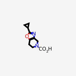 O=C(O)N1CCc2oc(C3CC3)nc2C1